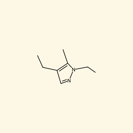 CCc1cnn(CC)c1C